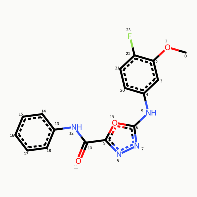 COc1cc(Nc2nnc(C(=O)Nc3ccccc3)o2)ccc1F